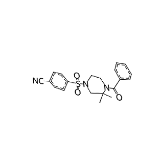 CC1(C)CN(S(=O)(=O)c2ccc(C#N)cc2)CCN1C(=O)c1ccccc1